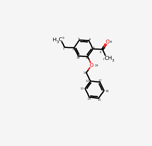 CCc1ccc(C(C)=O)c(OCc2ccccc2)c1